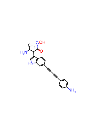 CC(N)C(C(=O)NO)c1c[nH]c2cc(C#CC#Cc3ccc(N)cc3)ccc12